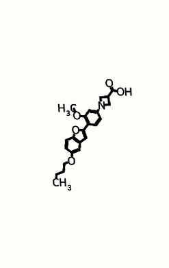 CCCCOc1ccc2oc(-c3ccc(N4CC(C(=O)O)C4)cc3OC)cc2c1